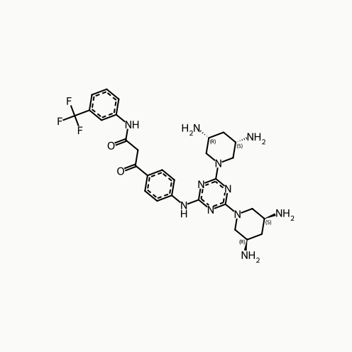 N[C@@H]1C[C@H](N)CN(c2nc(Nc3ccc(C(=O)CC(=O)Nc4cccc(C(F)(F)F)c4)cc3)nc(N3C[C@H](N)C[C@H](N)C3)n2)C1